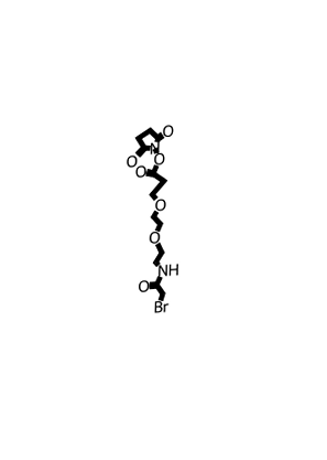 O=C(CBr)NCCOCCOCCC(=O)ON1C(=O)CCC1=O